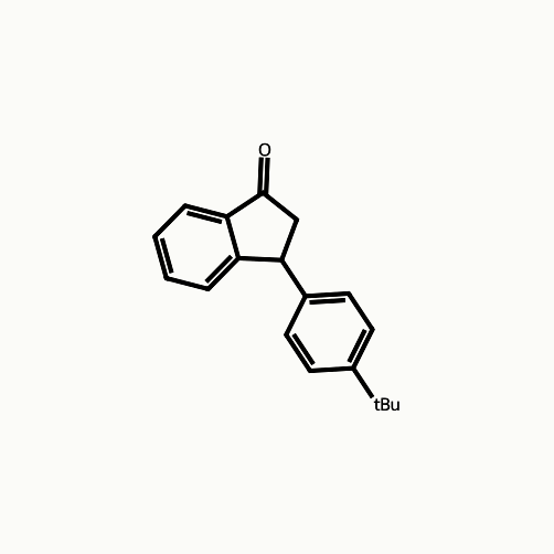 CC(C)(C)c1ccc(C2CC(=O)c3ccccc32)cc1